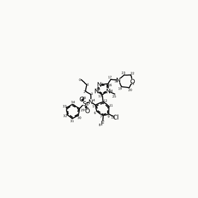 CCCCN(c1cc(F)c(Cl)cc1-c1nnc(CN2CCOCC2)n1C)S(=O)(=O)c1ccccc1